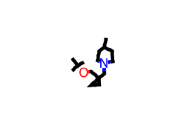 CC1CCN(CC2(COC(C)(C)C)CC2)CC1